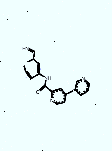 C/C=C\C(=C/C(C)C=N)NC(=O)c1cc(-c2cccnc2)ccn1